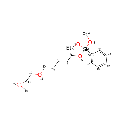 CCO[Si](OCC)(OCCCCCOCC1CO1)c1ccccc1